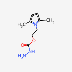 Cc1ccc(C)n1CCOC(=O)NN